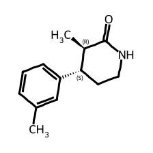 Cc1cccc([C@H]2CCNC(=O)[C@@H]2C)c1